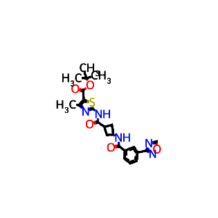 Cc1nc(NC(=O)C2CC(NC(=O)c3cccc(-c4ncon4)c3)C2)sc1C(=O)OC(C)(C)C